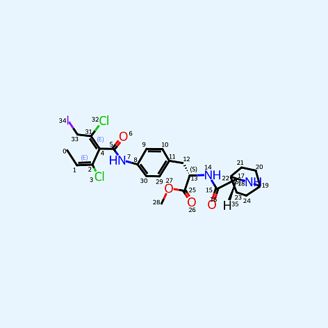 C/C=C(Cl)\C(C(=O)Nc1ccc(C[C@H](NC(=O)[C@H]2NC3CCC2CC3)C(=O)OC)cc1)=C(\Cl)CI